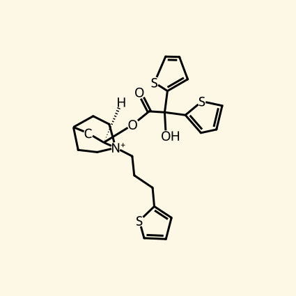 O=C(O[C@@H]1CC2CC[N+]1(CCCc1cccs1)CC2)C(O)(c1cccs1)c1cccs1